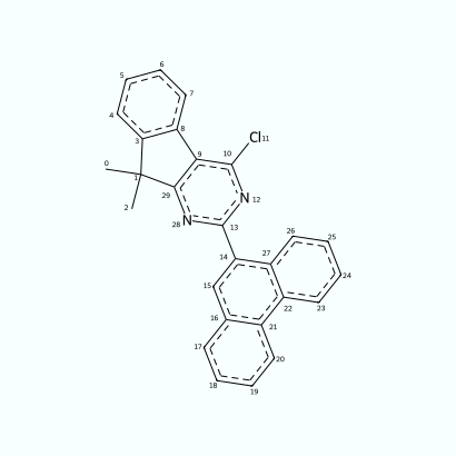 CC1(C)c2ccccc2-c2c(Cl)nc(-c3cc4ccccc4c4ccccc34)nc21